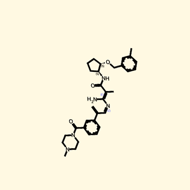 C=C(/C=N\C(N)=C(/C)C(=O)N[C@H]1CCC[C@@H]1OCc1cccc(C)c1)c1cccc(C(=O)N2CCN(C)CC2)c1